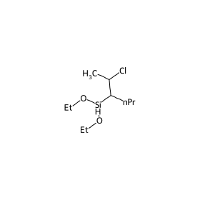 CCCC(C(C)Cl)[SiH](OCC)OCC